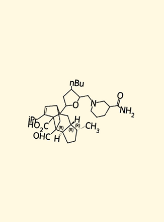 CCCCC1CC(C23C[C@@H]4[C@H](C)CC[C@H]4C4(C=O)CC2C=C(C(C)C)C34C(=O)O)OC1CN1CCCC(C(N)=O)C1